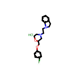 Cl.Fc1ccc(OCC2CN(CCN3CCc4ccccc43)CCO2)cc1